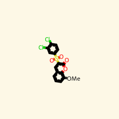 COc1cccc2cc(S(=O)(=O)c3ccc(Cl)c(Cl)c3)c(=O)oc12